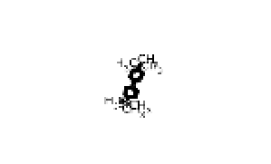 CC(C)(C)c1ccc(-c2ccc([Si](C)(C)C)cc2)cc1